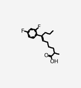 CCC/C(=C\CCCC(C)C(=O)O)c1ccc(F)cc1F